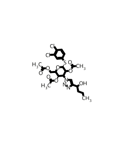 CCCC(O)c1cn(C2C(OC(C)=O)[C@@H](Sc3ccc(Cl)c(Cl)c3)OC(COC(C)=O)[C@@H]2OC(C)=O)nn1